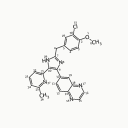 COc1ccc(Cc2nc(-c3ccc4nccnc4c3)c(-c3cccc(C)n3)[nH]2)cc1Cl